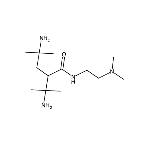 CN(C)CCNC(=O)C(CC(C)(C)N)C(C)(C)N